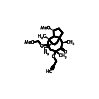 C#CCO[C@]1(C)CC(OCOC)[C@@]2(C)C3[C@H](OC)CCC3(CC[C@H]2C)[C@@H](C)C1=O